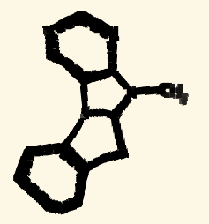 CN1c2ncncc2N2c3ccccc3CC12